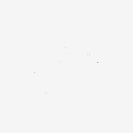 CC(C)[C@H](N)C(=O)OCn1c(=O)n(CC(=O)N[C@@H](C)c2ccc(F)cc2F)c(=O)c2cc(F)ccc21